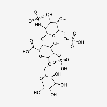 CO[C@H]1C(COS(=O)(=O)O)O[C@@H](O[C@H]2C(C(=O)O)O[C@@H](OCC3OC(O)C(O)[C@H](O)[C@@H]3O)C(OS(=O)(=O)O)[C@@H]2O)C(NS(=O)(=O)O)[C@@H]1O